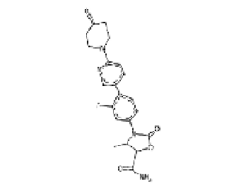 CC1C(C(N)=O)OC(=O)N1c1ccc(-c2ccc(N3CCC(=O)CC3)nc2)c(F)c1